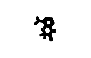 CC(C)c1cccc2c1OC(C)(C)C(=O)N2